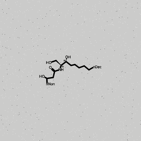 CCCCCCCCCCCCCCC[C@@H](O)[C@H](CO)NC(=O)CC(O)CCCCCCCCC